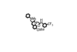 COc1ccc2cc(CNc3ccccc3)c(=O)n(CC(=O)Nc3cccc(C(F)(F)F)c3)c2c1